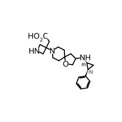 O=C(O)CC1(N2CCC3(CC2)CC(N[C@@H]2C[C@H]2c2ccccc2)CO3)CNC1